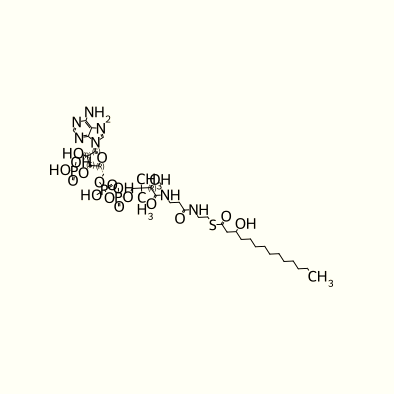 CCCCCCCCCCCC(O)CC(=O)SCCNC(=O)CCNC(=O)[C@H](O)C(C)(C)COP(=O)(O)OP(=O)(O)OC[C@H]1O[C@H](n2cnc3c(N)ncnc32)[C@H](O)[C@@H]1OP(=O)(O)O